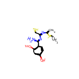 C=C(/N=C(CS)\N=C(/N)c1ccc(O)cc1O)SC